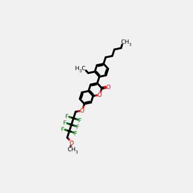 CCCCCc1ccc(-c2cc3ccc(OCC(F)(F)C(F)(F)C(F)(F)COC)cc3oc2=O)c(CC)c1